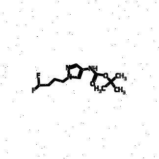 CC(C)(C)OC(=O)Nc1cnn(CCCC(F)F)c1